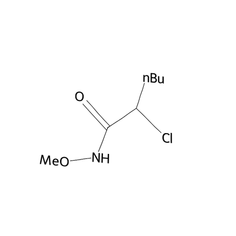 CCCCC(Cl)C(=O)NOC